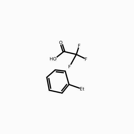 CCc1ccccc1.O=C(O)C(F)(F)F